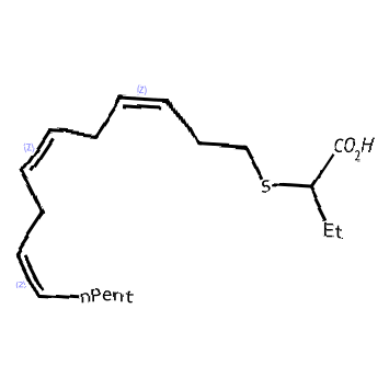 CCCCC/C=C\C/C=C\C/C=C\CCSC(CC)C(=O)O